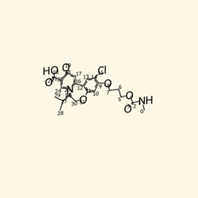 CNC(=O)OCCCOc1cc2c(cc1Cl)-c1cc(=O)c(C(=O)O)cn1[C@H](C(C)C)CO2